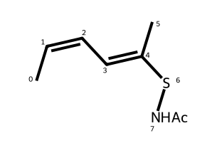 C/C=C\C=C(/C)SNC(C)=O